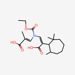 CCOC(=O)N(C=C(C)C(=O)O)C=C(C(=O)O)C1C(C)CCCCC1(C)C